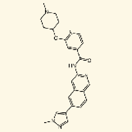 CN1CCC(Oc2cc(C(=O)Nc3cc4cc(-c5cnn(C)c5)ccc4cn3)ccn2)CC1